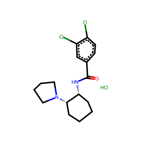 Cl.O=C(N[C@@H]1CCCC[C@@H]1N1CCCC1)c1ccc(Cl)c(Cl)c1